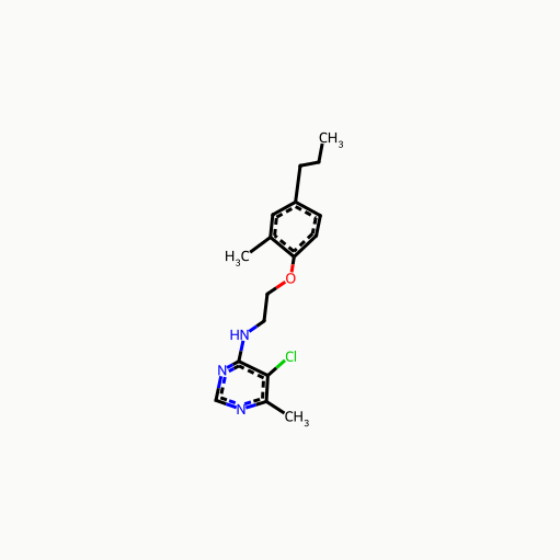 CCCc1ccc(OCCNc2ncnc(C)c2Cl)c(C)c1